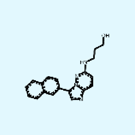 OCCCNc1ccc2ncc(-c3ccc4ccccc4c3)n2n1